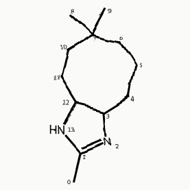 CC1=NC2CCCC(C)(C)CCC2N1